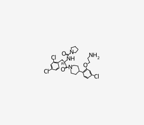 NCCOc1cc(Cl)ccc1C1CCN(C(=O)[C@@H](Cc2ccc(Cl)cc2Cl)NC(=O)N2CCCC2)CC1